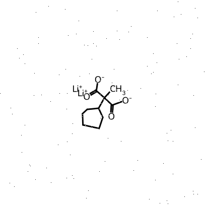 CC(C(=O)[O-])(C(=O)[O-])C1CCCCC1.[Li+].[Li+]